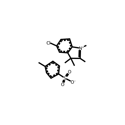 CC1=[N+](C)c2ccc(Cl)cc2C1(C)C.Cc1ccc(S(=O)(=O)[O-])cc1